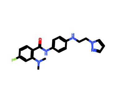 CN(C)c1cc(F)ccc1C(=O)Nc1ccc(NCCn2cccn2)cc1